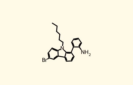 CCCCCCn1c2ccc(Br)cc2c2cccc(-c3ccccc3N)c21